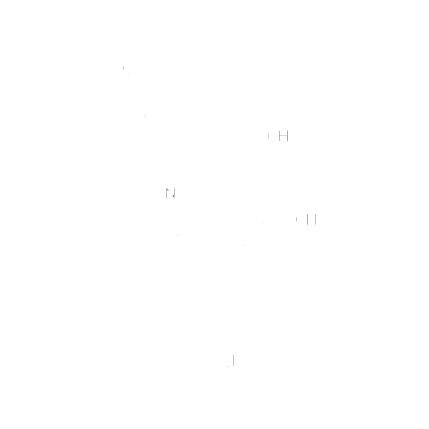 CC1C2=CC(=O)CCN2C2CCC(Cl)CC2C1C